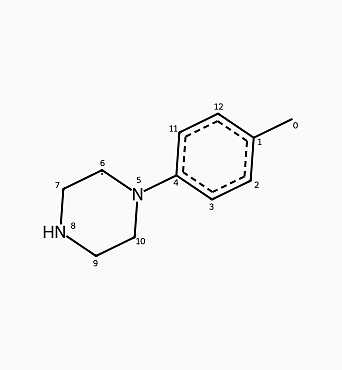 Cc1ccc(N2[CH]CNCC2)cc1